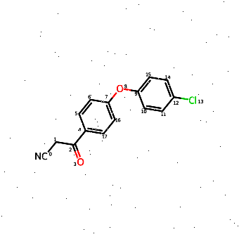 N#CCC(=O)c1ccc(Oc2ccc(Cl)cc2)cc1